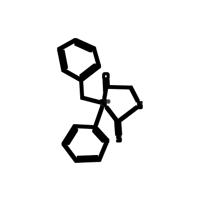 O=C1CSC(=S)[N+]1(Cc1ccccc1)c1ccccc1